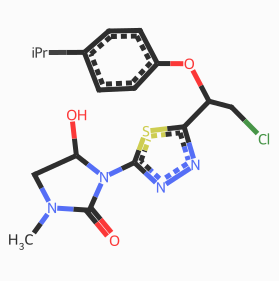 CC(C)c1ccc(OC(CCl)c2nnc(N3C(=O)N(C)CC3O)s2)cc1